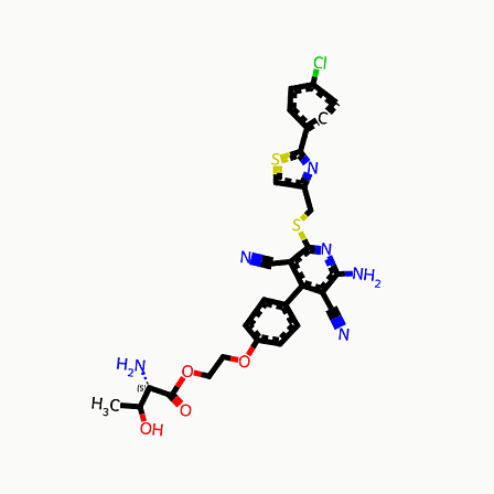 CC(O)[C@H](N)C(=O)OCCOc1ccc(-c2c(C#N)c(N)nc(SCc3csc(-c4ccc(Cl)cc4)n3)c2C#N)cc1